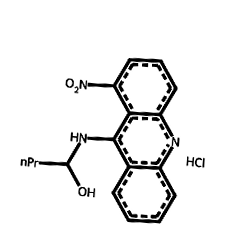 CCCC(O)Nc1c2ccccc2nc2cccc([N+](=O)[O-])c12.Cl